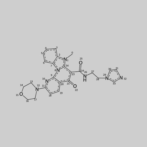 Cn1c2ccccc2n2c3nc(N4CCOCC4)ccc3c(=O)c(C(=O)NCCn3ccnc3)c12